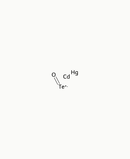 O=[Te+].[Cd].[Hg]